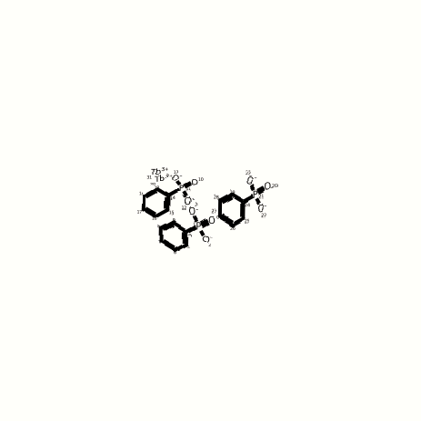 O=P([O-])([O-])c1ccccc1.O=P([O-])([O-])c1ccccc1.O=P([O-])([O-])c1ccccc1.[Tb+3].[Tb+3]